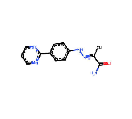 N#C/C(=N\Nc1ccc(-c2ncccn2)cc1)C(N)=O